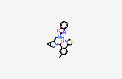 Cc1ccc(-c2cscn2)c(C(=O)N2CC3CC3C2CNc2nc3ccccc3o2)c1